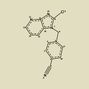 N#Cc1ccc(Cn2c(Cl)nc3ncccc32)cc1